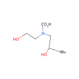 CC(C)(C)C(O)CN(CCO)C(=O)O